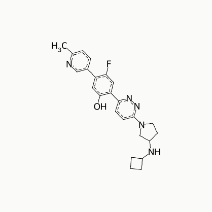 Cc1ccc(-c2cc(O)c(-c3ccc(N4CCC(NC5CCC5)C4)nn3)cc2F)cn1